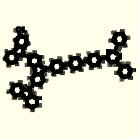 Cc1ccc2c(c1)c1ccccc1n2-c1ccc2c(c1)c1cc(-n3c4ccccc4c4ccccc43)ccc1n2-c1ccc(-c2ccc(-c3ccc(-c4cc(-c5ccccc5)nc(-c5ccccc5)n4)cc3)cc2)cc1